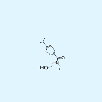 CCN(CCO)C(=O)c1ccc(C(C)C)cc1